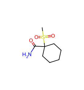 CS(=O)(=O)C1(C(N)=O)CCCCC1